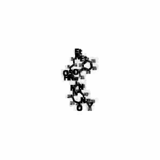 CCN(CC)CCCS(=O)(=O)N[C@H](CCc1ccccc1)c1nc2n(n1)CCC(=O)N(C1CC1)C2